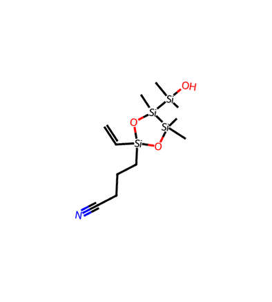 C=C[Si]1(CCCC#N)O[Si](C)(C)[Si](C)([Si](C)(C)O)O1